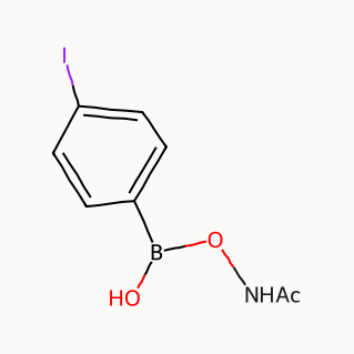 CC(=O)NOB(O)c1ccc(I)cc1